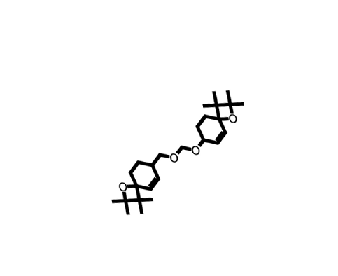 CC1(C)OC2(C=CC(COCOC3C=CC4(CC3)OC(C)(C)C4(C)C)CC2)C1(C)C